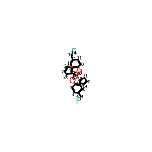 FCc1ccc([O][Zr]([O]c2ccc(CF)cc2)([C]2=CC=CC2)[C]2=CC=CC2)cc1